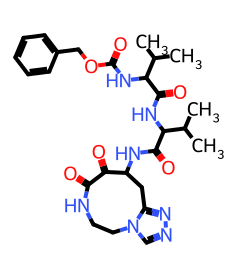 CC(C)C(NC(=O)OCc1ccccc1)C(=O)NC(C(=O)NC1Cc2nncn2CCNC(=O)C1=O)C(C)C